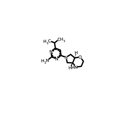 CC(C)c1cc(N2C[C@H]3NCCO[C@@H]3C2)nc(N)n1